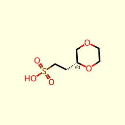 O=S(=O)(O)CC[C@@H]1COCCO1